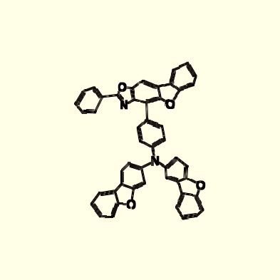 c1ccc(-c2nc3c(-c4ccc(N(c5ccc6c(c5)oc5ccccc56)c5ccc6oc7ccccc7c6c5)cc4)c4oc5ccccc5c4cc3o2)cc1